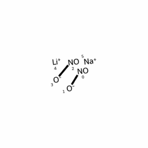 O=N[O-].O=N[O-].[Li+].[Na+]